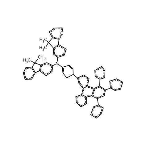 CC1(C)c2ccccc2-c2ccc(N(C3=CCC(c4ccc5c(c4)c4ccccc4c4c(-c6ccccc6)cc(-c6ccccc6)c(-c6ccccc6)c54)C=C3)c3ccc4c(c3)C(C)(C)c3ccccc3-4)cc21